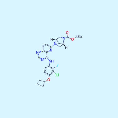 CC(C)(C)OC(=O)N1C[C@@H]2C[C@H]1CN2c1ccc2ncnc(Nc3ccc(OC4CCC4)c(Cl)c3F)c2n1